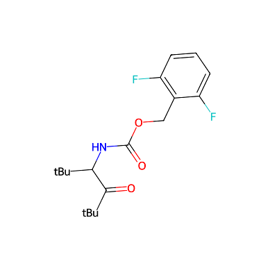 CC(C)(C)C(=O)C(NC(=O)OCc1c(F)cccc1F)C(C)(C)C